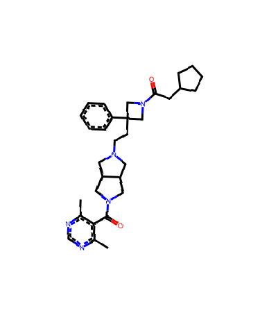 Cc1ncnc(C)c1C(=O)N1CC2CN(CCC3(c4ccccc4)CN(C(=O)CC4CCCC4)C3)CC2C1